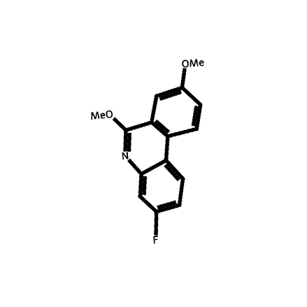 COc1ccc2c(c1)c(OC)nc1cc(F)ccc12